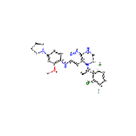 COc1cc(N2CCCC2)ccc1Nc1cc2c(nn1)NCCN2[C@H](C)c1c(Cl)ccc(F)c1Cl